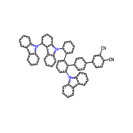 N#Cc1ccc(-c2ccc(-c3c(-c4ccccc4-n4c5ccccc5c5c(-n6c7ccccc7c7ccccc76)cccc54)cccc3-n3c4ccccc4c4ccccc43)cc2)cc1C#N